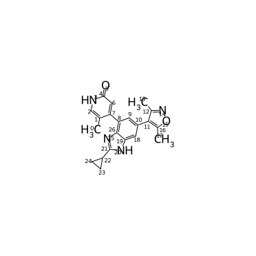 Cc1c[nH]c(=O)cc1-c1cc(-c2c(C)noc2C)cc2[nH]c(C3CC3)nc12